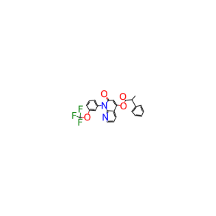 CC(C(=O)Oc1cc(=O)n(-c2cccc(OC(F)(F)F)c2)c2ncccc12)c1ccccc1